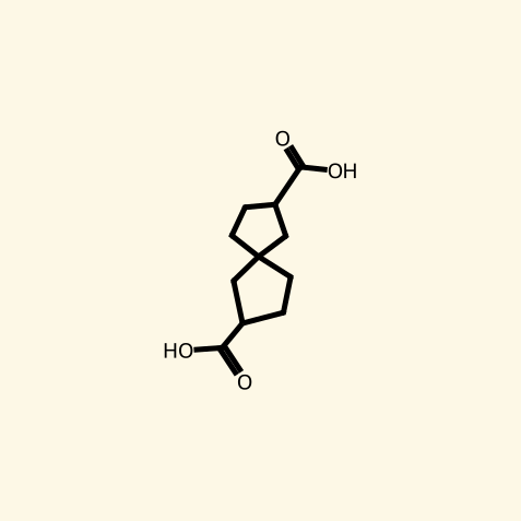 O=C(O)C1CCC2(CCC(C(=O)O)C2)C1